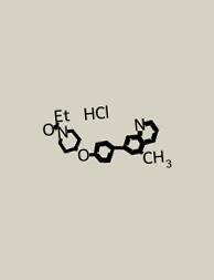 CCC(=O)N1CCC(Oc2ccc(-c3cc(C)c4cccnc4c3)cc2)CC1.Cl